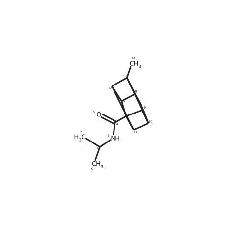 CC(C)NC(=O)C12C3C4C1C1C2C3C41C